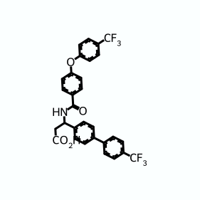 O=C(O)CC(NC(=O)c1ccc(Oc2ccc(C(F)(F)F)cc2)cc1)c1ccc(-c2ccc(C(F)(F)F)cc2)cc1